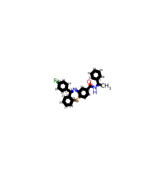 CC(NC(=O)c1ccc2c(c1)N=C(c1ccc(F)cc1)c1ccccc1S2)c1ccccc1